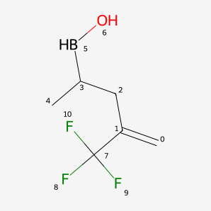 C=C(CC(C)BO)C(F)(F)F